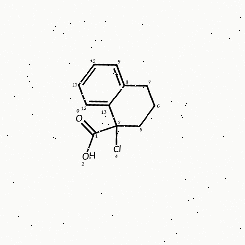 O=C(O)C1(Cl)CCCc2ccccc21